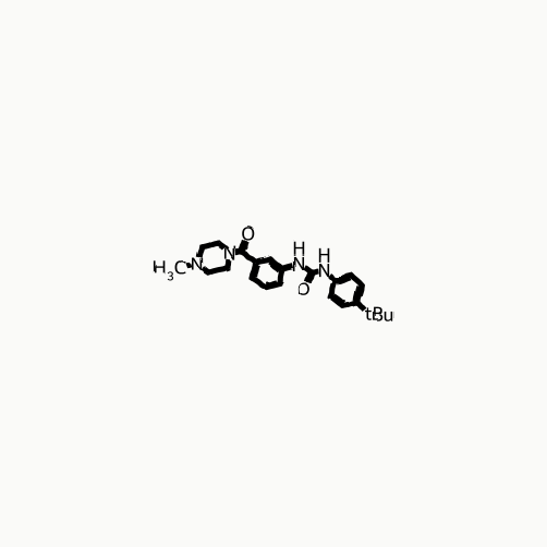 CN1CCN(C(=O)c2cccc(NC(=O)Nc3ccc(C(C)(C)C)cc3)c2)CC1